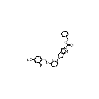 N#Cc1ccc(COc2cccc(N3Cc4cn(C(=O)OCc5ccccc5)nc4C3)n2)c(F)c1